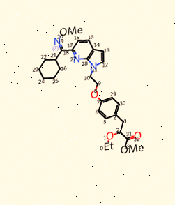 CCOC(Cc1ccc(OCCn2ccc3ccc(/C(=N\OC)C4CCCCC4)nc32)cc1)C(=O)OC